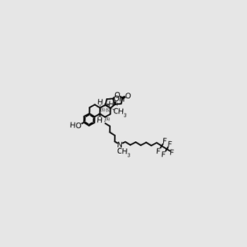 CN(CCCCCCCC(F)(F)C(F)(F)F)CCCCC[C@H]1C[C@@]2(C)[C@@H](CC3OC(=O)C[C@@]32O)[C@@H]2CCc3cc(O)ccc3[C@@H]12